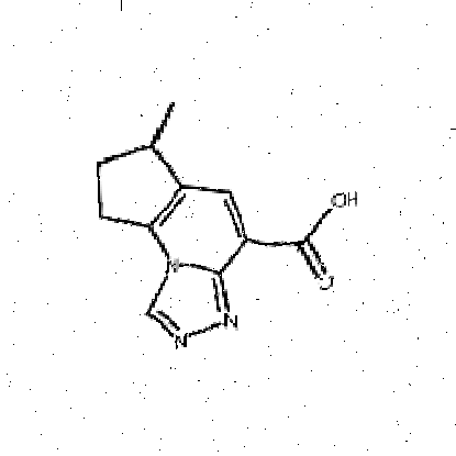 CC1CCc2c1cc(C(=O)O)c1nncn21